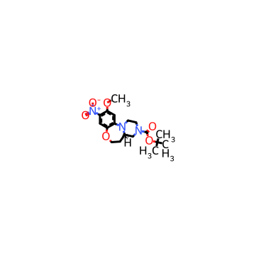 COc1cc2c(cc1[N+](=O)[O-])OCC[C@H]1CN(C(=O)OC(C)(C)C)CCN21